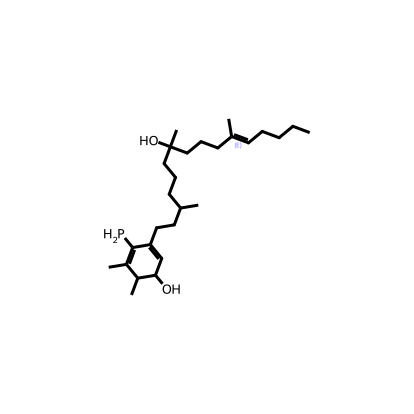 CCCC/C=C(\C)CCCC(C)(O)CCCC(C)CCC1=CC(O)C(C)C(C)=C1P